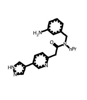 CCCN(Cc1cccc(N)c1)C(=O)Cc1ccc(-c2cn[nH]c2)cn1